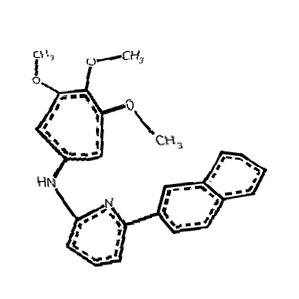 COc1cc(Nc2cccc(-c3ccc4ccccc4c3)n2)cc(OC)c1OC